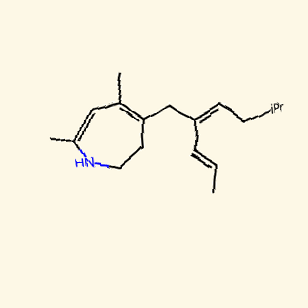 CC=C/C(=C\CC(C)C)CC1=C(C)C=C(C)NCC1